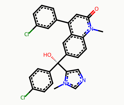 Cn1cncc1[C@@](O)(c1ccc(Cl)cc1)c1ccc2c(c1)c(-c1cccc(Cl)c1)cc(=O)n2C